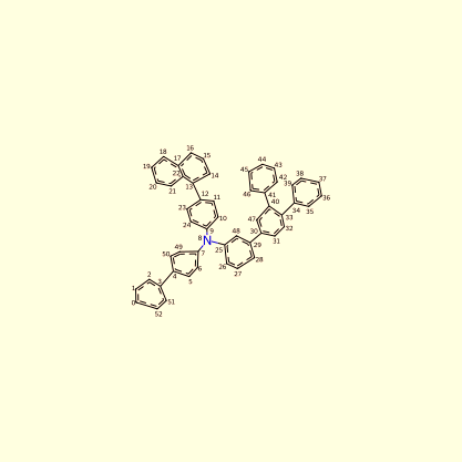 c1ccc(-c2ccc(N(c3ccc(-c4cccc5ccccc45)cc3)c3cccc(-c4ccc(-c5ccccc5)c(-c5ccccc5)c4)c3)cc2)cc1